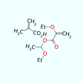 C=C(C)C(=O)O.C=C(OCC)C(=O)OC(C)OCC